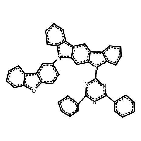 c1ccc(-c2nc(-c3ccccc3)nc(-n3c4ccccc4c4cc5c6ccccc6n(-c6ccc7oc8ccccc8c7c6)c5cc43)n2)cc1